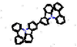 C1=C(c2ccc3c(c2)c2ccccc2n3-c2ccccc2-c2ccccc2)CC2C(=C1)N(c1ccccc1-c1ccccc1)c1ccccc12